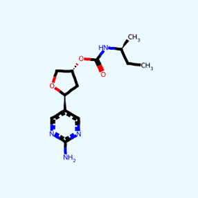 CC[C@H](C)NC(=O)O[C@H]1CO[C@H](c2cnc(N)nc2)C1